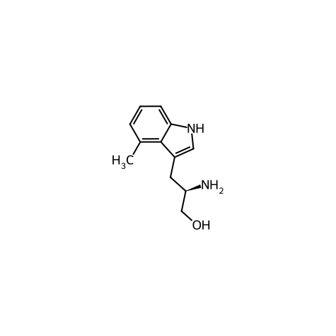 Cc1cccc2[nH]cc(C[C@@H](N)CO)c12